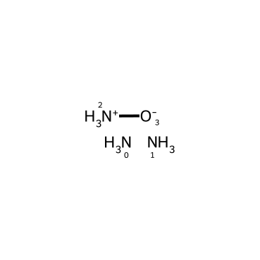 N.N.[NH3+][O-]